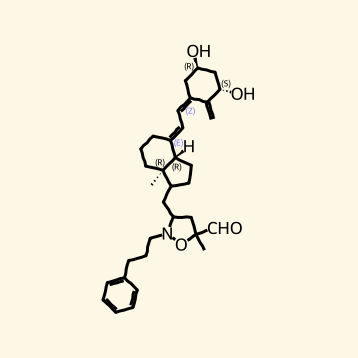 C=C1/C(=C\C=C2/CCC[C@]3(C)C(CC4CC(C)(C=O)ON4CCCc4ccccc4)CC[C@@H]23)C[C@@H](O)C[C@@H]1O